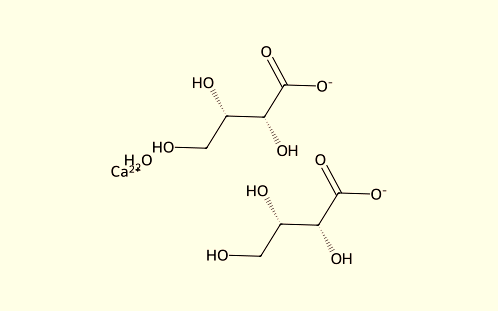 O.O=C([O-])[C@H](O)[C@@H](O)CO.O=C([O-])[C@H](O)[C@@H](O)CO.[Ca+2]